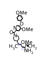 C=N/C(N)=C\C(OC)=C(/C)C1CCN(C(=O)c2cc(OC)c(Oc3ccc(OC)cc3)cn2)CC1